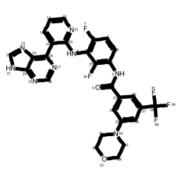 O=C(Nc1ccc(F)c(Nc2ncccc2-c2ncnc3[nH]cnc23)c1F)c1cc(N2CCOCC2)cc(C(F)(F)F)c1